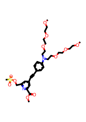 COCCOCCOCCN(CCOCCOCCOC)c1ccc(C#Cc2cc(COS(C)(=O)=O)nc(C(=O)OC)c2)cc1